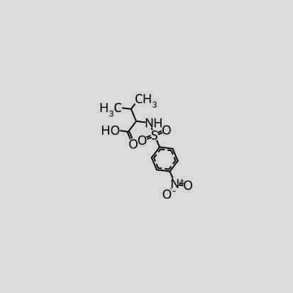 CC(C)C(NS(=O)(=O)c1ccc([N+](=O)[O-])cc1)C(=O)O